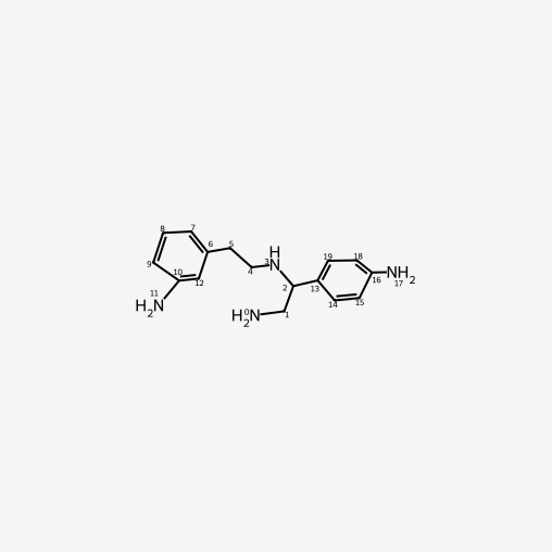 NCC(NCCc1cccc(N)c1)c1ccc(N)cc1